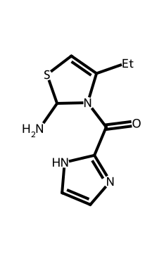 CCC1=CSC(N)N1C(=O)c1ncc[nH]1